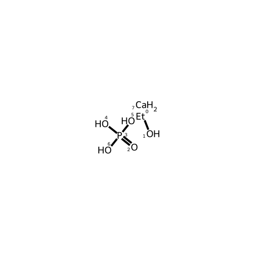 CCO.O=P(O)(O)O.[CaH2]